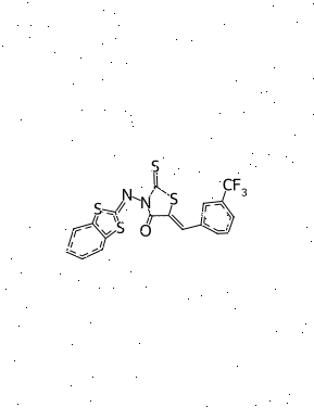 O=C1C(=Cc2cccc(C(F)(F)F)c2)SC(=S)N1N=c1sc2ccccc2s1